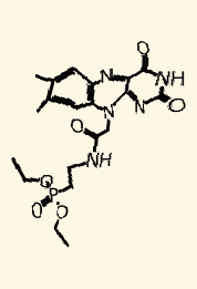 CCOP(=O)(CCNC(=O)Cn1c2nc(=O)[nH]c(=O)c-2nc2cc(C)c(C)cc21)OCC